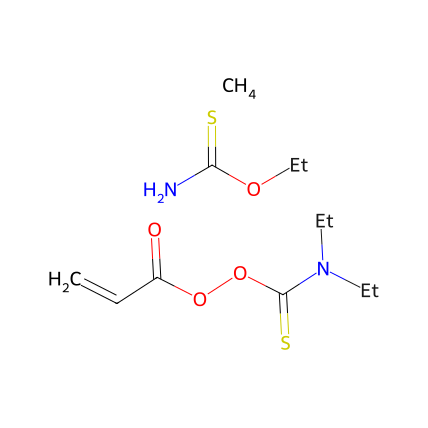 C.C=CC(=O)OOC(=S)N(CC)CC.CCOC(N)=S